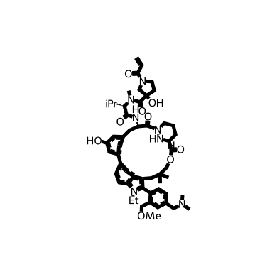 C=CC(=O)N1CCC(O)(C(=O)N(C)[C@H](C(=O)N[C@H]2Cc3cc(O)cc(c3)-c3ccc4c(c3)c(c(-c3ccc(CN(C)C)cc3COC)n4CC)CC(C)(C)COC(=O)[C@@H]3CCCN(N3)C2=O)C(C)C)C1